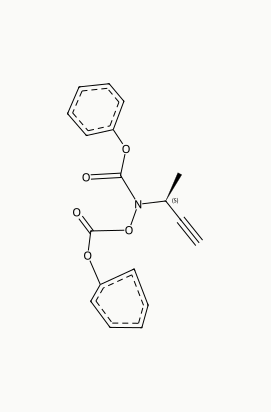 C#C[C@H](C)N(OC(=O)Oc1ccccc1)C(=O)Oc1ccccc1